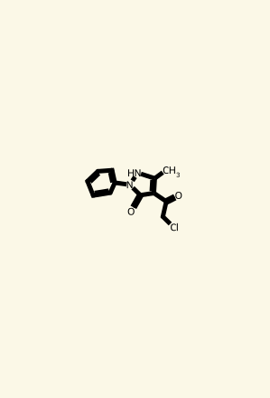 Cc1[nH]n(-c2ccccc2)c(=O)c1C(=O)CCl